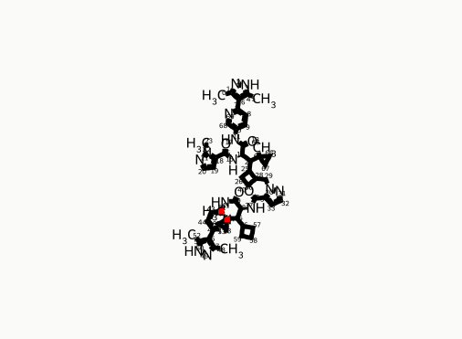 Cc1n[nH]c(C)c1-c1ccc(NC(=O)[C@@H](NC(=O)c2ccnn2C)C(C2CCC2Cn2nccc2C(=O)N[C@H](C(=O)Nc2ccc(-c3c(C)n[nH]c3C)nn2)C(C2CCC2)C2(C)CC2)C2(C)CC2)cn1